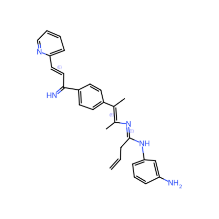 C=CC/C(=N\C(C)=C(/C)c1ccc(C(=N)/C=C/c2ccccn2)cc1)Nc1cccc(N)c1